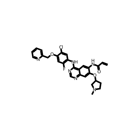 C=CC(=O)Nc1cc2c(Nc3cc(Cl)c(OCc4ccccn4)cc3F)ncnc2cc1OC1CCN(C)C1